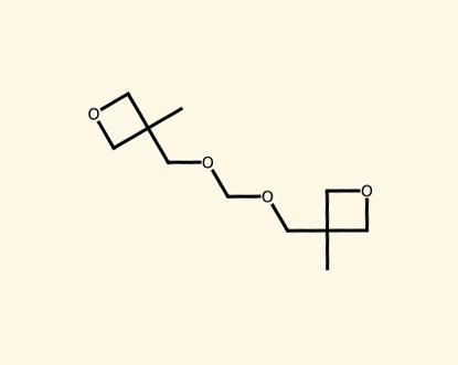 CC1(COCOCC2(C)COC2)COC1